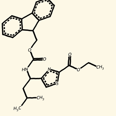 CCOC(=O)c1nc(C(CC(C)C)NC(=O)OCC2c3ccccc3-c3ccccc32)cs1